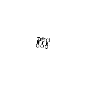 [O-]Cl.[O-]Cl.[O]=[Zr+2]